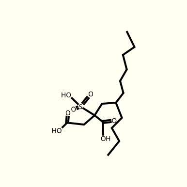 CCCCCCC(CCCC)CC(CC(=O)O)(C(=O)O)S(=O)(=O)O